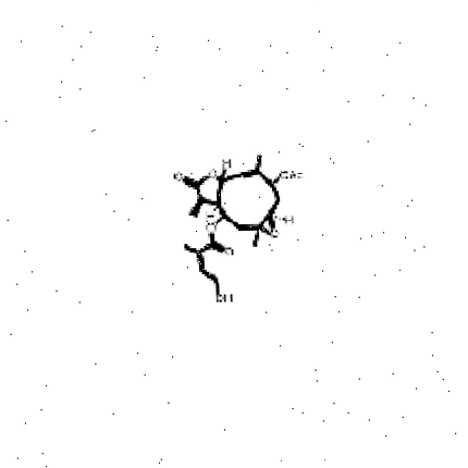 C=C1C(=O)O[C@@H]2/C=C(/C)[C@@H](OC(C)=O)C[C@H]3O[C@]3(C)C[C@@H](OC(=O)/C(C)=C\CO)[C@@H]12